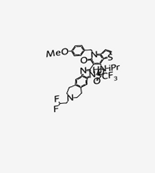 COc1ccc(Cn2c(=O)c(-c3nc4cc5c(cc4n3S(=O)(=O)C(F)(F)F)CCN(CC(F)F)CC5)c(NC(C)C)c3sccc32)cc1